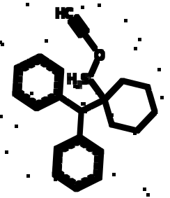 C#CO[SiH2]C1(C(c2ccccc2)c2ccccc2)CCCCC1